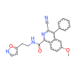 COc1ccc2c(C(=O)NCCc3ccno3)nc(C#N)c(-c3ccccc3)c2c1